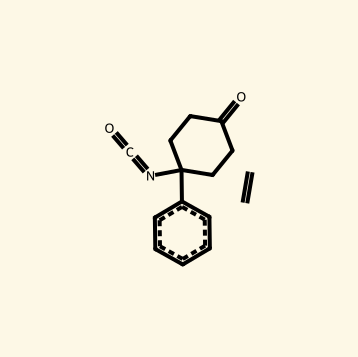 C=C.O=C=NC1(c2ccccc2)CCC(=O)CC1